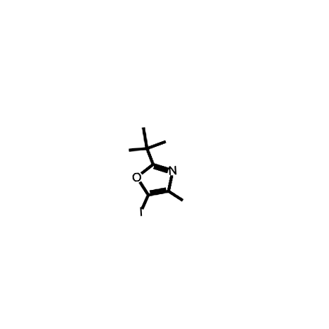 Cc1nc(C(C)(C)C)oc1I